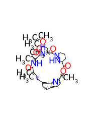 CC(C)[C@@H]1NC(=O)C(C)(C)/C=C/c2ccc3ccc(nc3c2)[C@@H](C)OC(=O)C2CCCN(N2)C(=O)[C@H](CC(=O)OC(C)(C)C)NC1=O